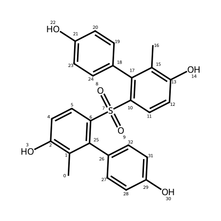 Cc1c(O)ccc(S(=O)(=O)c2ccc(O)c(C)c2-c2ccc(O)cc2)c1-c1ccc(O)cc1